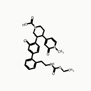 CCOC(=O)NCCc1ccccc1-c1ccc(C2CN(C(=O)O)CCC2c2ccn(C)c(=O)c2)c(Cl)c1